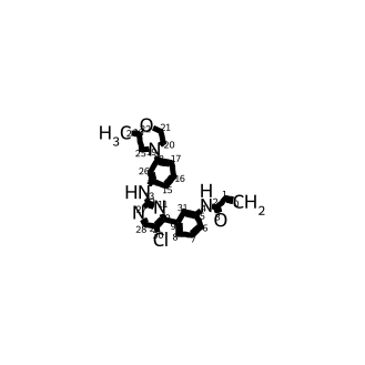 C=CC(=O)Nc1cccc(-c2nc(Nc3cccc(N4CCOC(C)C4)c3)ncc2Cl)c1